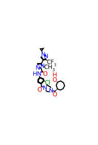 Cn1c(-c2cn(C3CC3)nc2C(F)(F)F)cnc1C(=O)Nc1ccc(C(=O)N2CCN(C(=O)[C@@H]3CCCCC[C@@H](O)C3)CC2)c(Cl)c1